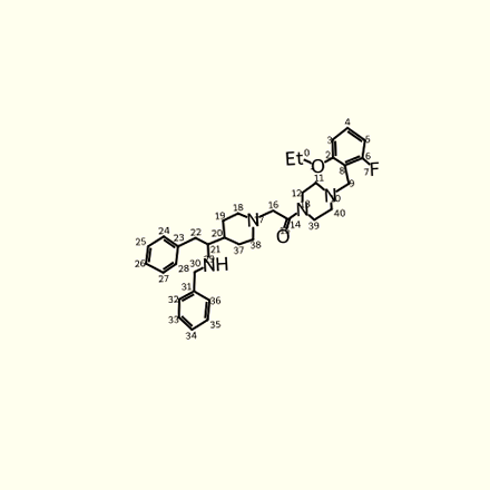 CCOc1cccc(F)c1CN1CCN(C(=O)CN2CCC(C(Cc3ccccc3)NCc3ccccc3)CC2)CC1